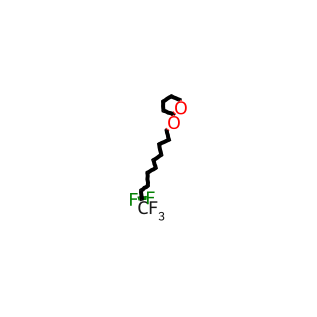 FC(F)(F)C(F)(F)CCCCCCCCCOC1CCCCO1